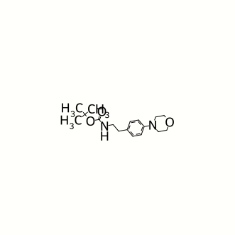 CC(C)(C)OC(=O)NCCc1ccc(N2CCOCC2)cc1